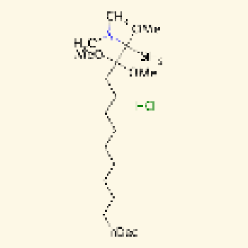 CCCCCCCCCCCCCCCCCCCC(OC)(OC)C([SiH3])(OC)N(C)C.Cl